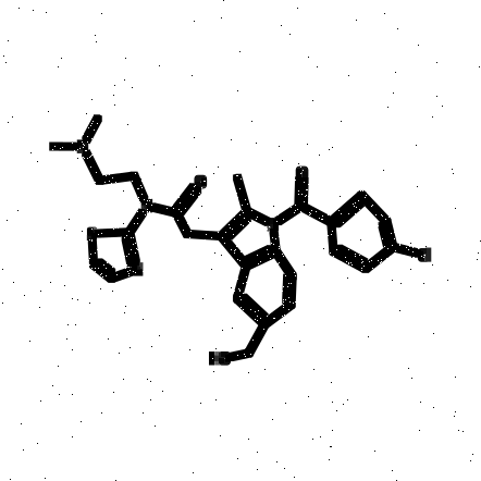 Cc1c(CC(=O)N(CCN(C)C)c2nccs2)c2cc(CO)ccc2n1C(=O)c1ccc(Cl)cc1